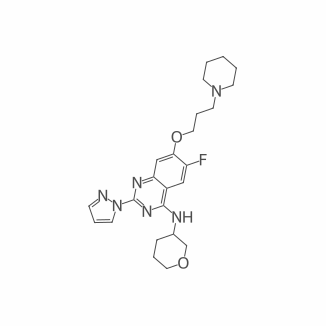 Fc1cc2c(NC3CCCOC3)nc(-n3cccn3)nc2cc1OCCCN1CCCCC1